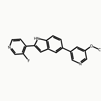 COc1cncc(-c2ccc3[nH]c(-c4ccncc4F)cc3c2)c1